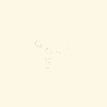 O=C(Cc1ccc(-c2ccccc2O)cc1-c1nc2cnccc2[nH]1)N1CCC(Cc2ccc(F)cc2)(C(=O)O)CC1